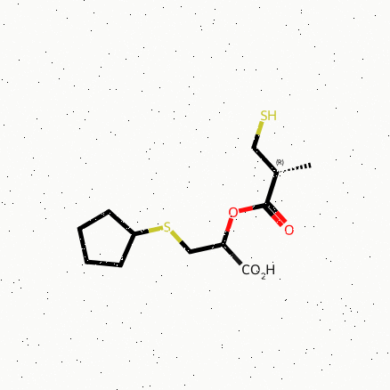 C[C@@H](CS)C(=O)OC(CSC1CCCC1)C(=O)O